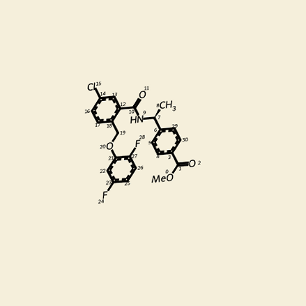 COC(=O)c1ccc([C@H](C)NC(=O)c2cc(Cl)ccc2COc2cc(F)ccc2F)cc1